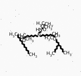 CCCCCCCCC(CCCCC)OC(=O)C(C)(C)CCCCCCN(CCCCCCC(C)(C)C(=O)OCCCC(CCCCC)CCCCC)CCNC(=O)OC(C)(C)C